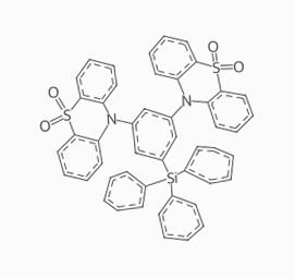 O=S1(=O)c2ccccc2N(c2cc(N3c4ccccc4S(=O)(=O)c4ccccc43)cc([Si](c3ccccc3)(c3ccccc3)c3ccccc3)c2)c2ccccc21